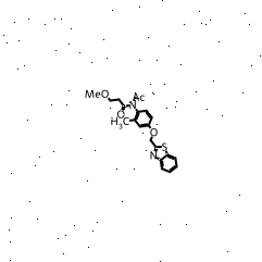 COCCC(=O)N(C(C)=O)c1ccc(OCc2nc3ccccc3s2)cc1C